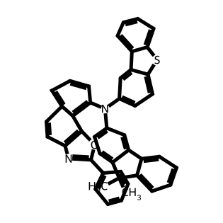 CC1(C)c2ccccc2-c2cc(N(c3ccc4sc5ccccc5c4c3)c3cccc4ccc5nc(-c6ccccc6)oc5c34)ccc21